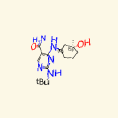 CC(C)(C)Nc1ncc(C(N)=O)c(N[C@@H]2CCC[C@](C)(O)C2)n1